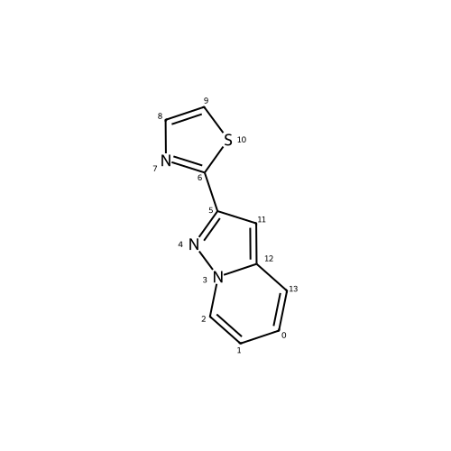 c1ccn2nc(-c3nccs3)cc2c1